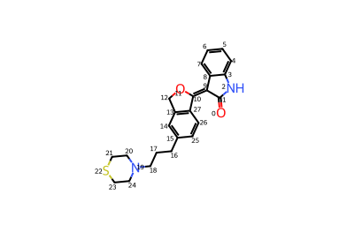 O=C1Nc2ccccc2C1=C1OCc2cc(CCCN3CCSCC3)ccc21